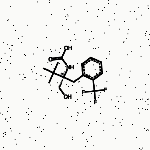 CC(C)(C)[C@](CO)(Cc1ccccc1C(F)(F)F)NC(=O)O